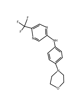 FC(F)(F)c1cnc(Nc2ccc(N3CCOCC3)cc2)cn1